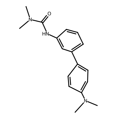 CN(C)C(=O)Nc1cccc(-c2ccc(N(C)C)cc2)c1